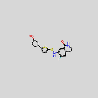 O=c1[nH]ccc2cc(F)c(NSc3ccc(C4CCC(O)C4)s3)cc12